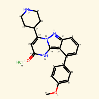 COc1ccc(-c2cccc3nn4c(C5CCNCC5)cc(=O)[nH]c4c23)cc1.Cl